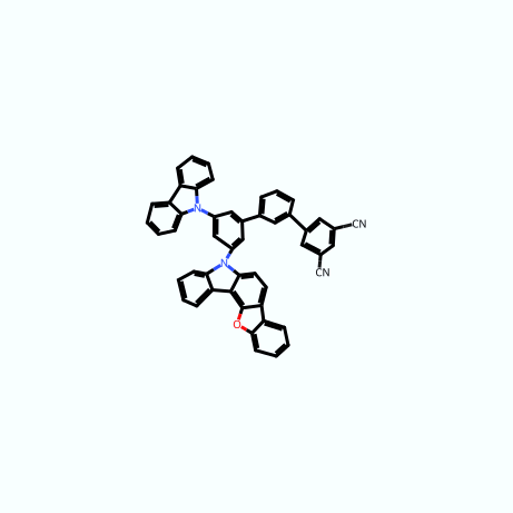 N#Cc1cc(C#N)cc(-c2cccc(-c3cc(-n4c5ccccc5c5ccccc54)cc(-n4c5ccccc5c5c6oc7ccccc7c6ccc54)c3)c2)c1